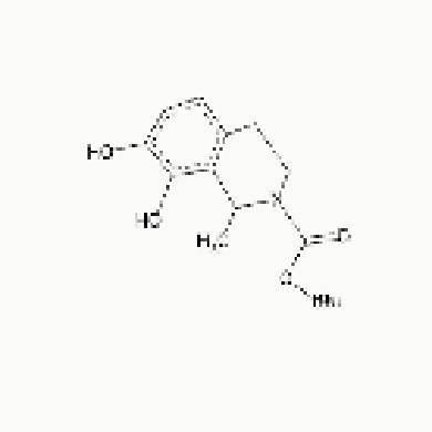 CC1c2c(ccc(O)c2O)CCN1C(=O)OC(C)(C)C